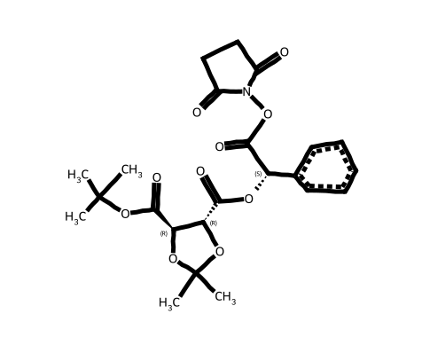 CC(C)(C)OC(=O)[C@@H]1OC(C)(C)O[C@H]1C(=O)O[C@H](C(=O)ON1C(=O)CCC1=O)c1ccccc1